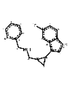 Fc1ccc2[nH]cc(C3CC3CNCc3ccccn3)c2c1